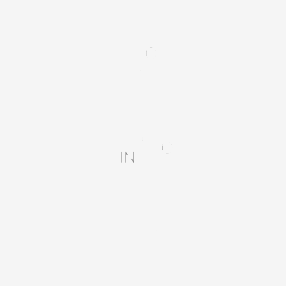 Cc1ccc(NC(=O)CCC2CCCO2)cc1